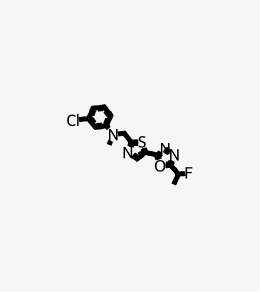 CC(F)c1nnc(-c2cnc(CN(C)c3cccc(Cl)c3)s2)o1